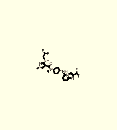 Cn1cc(C(=O)[N+](=S)[C@H]2CC[C@@H](Nc3cccc4nc(C(F)F)cn34)CC2)c(NCC(F)F)n1